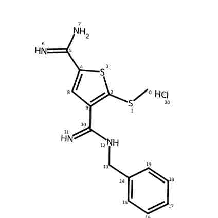 CSc1sc(C(=N)N)cc1C(=N)NCc1ccccc1.Cl